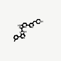 Cc1cccc(-c2cncc3[nH]c(-c4n[nH]c5ccc(-c6cncc(CC7CCNCC7)c6)nc45)nc23)c1